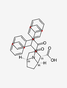 O=C(O)[C@@H]1[C@H]2CC[C@@H](CN1C(=O)N(c1ccccc1)c1ccccc1)N2C(=O)C(c1ccccc1)c1ccccc1